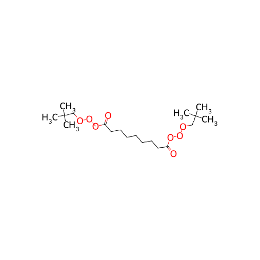 CC(C)(C)COOOC(=O)CCCCCCCC(=O)OOOCC(C)(C)C